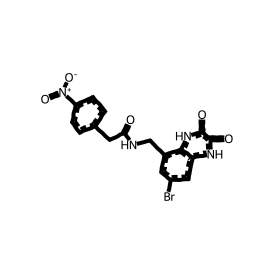 O=C(Cc1ccc([N+](=O)[O-])cc1)NCc1cc(Br)cc2[nH]c(=O)c(=O)[nH]c12